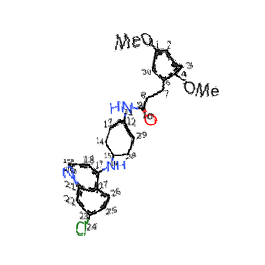 COc1ccc(OC)c(CCC(=O)NC2CCC(Nc3ccnc4cc(Cl)ccc34)CC2)c1